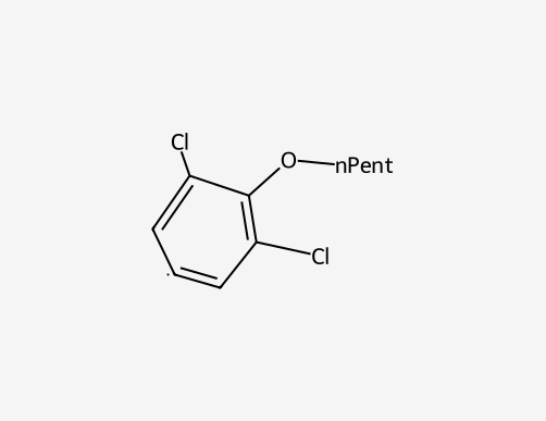 CCCCCOc1c(Cl)c[c]cc1Cl